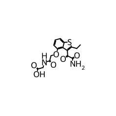 CCc1sc2cccc(OCC(=O)NCC(=O)O)c2c1C(=O)C(N)=O